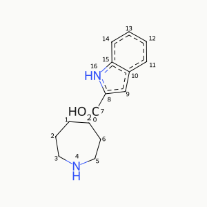 C1CCCNCC1.O=C(O)c1cc2ccccc2[nH]1